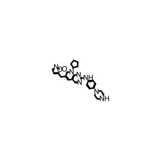 O=c1c(Cc2ccno2)cc2cnc(Nc3ccc(N4CCNCC4)cc3)nc2n1C1CCCC1